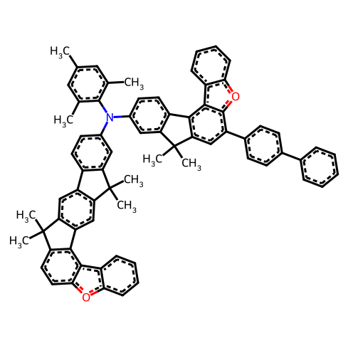 Cc1cc(C)c(N(c2ccc3c(c2)C(C)(C)c2cc4c(cc2-3)C(C)(C)c2ccc3oc5ccccc5c3c2-4)c2ccc3c(c2)C(C)(C)c2cc(-c4ccc(-c5ccccc5)cc4)c4oc5ccccc5c4c2-3)c(C)c1